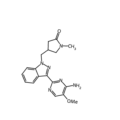 COc1cnc(-c2nn(CC3CC(=O)N(C)C3)c3ccccc23)nc1N